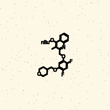 CCCCOc1c(C)c(COc2cc(OCC3CCOCC3)c(F)cc2F)nc2ccccc12